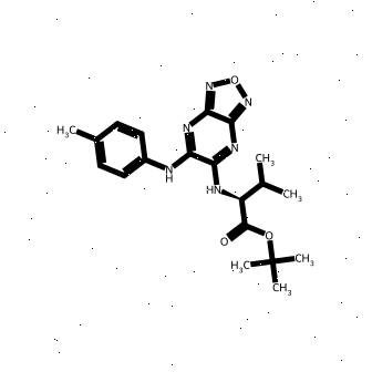 Cc1ccc(Nc2nc3nonc3nc2N[C@H](C(=O)OC(C)(C)C)C(C)C)cc1